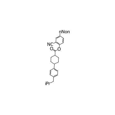 CCCCCCCCCc1ccc(OC(=O)C2CCC(c3ccc(CC(C)C)cc3)CC2)c(C#N)c1